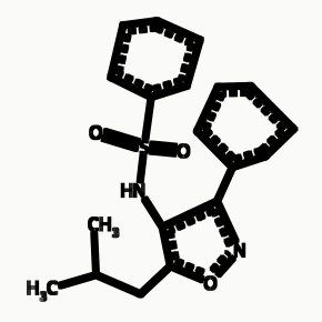 CC(C)Cc1onc(-c2ccccc2)c1NS(=O)(=O)c1ccccc1